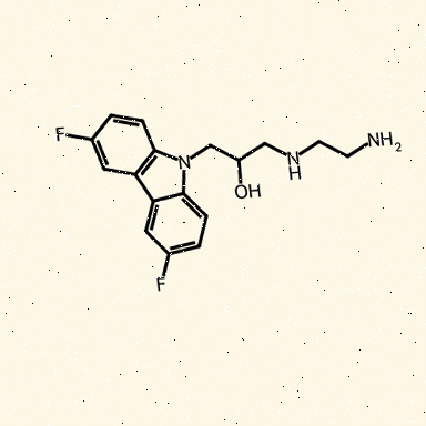 NCCNCC(O)Cn1c2ccc(F)cc2c2cc(F)ccc21